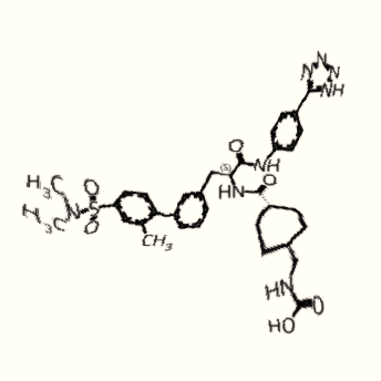 Cc1cc(S(=O)(=O)N(C)C)ccc1-c1cccc(C[C@H](NC(=O)[C@H]2CC[C@H](CNC(=O)O)CC2)C(=O)Nc2ccc(-c3nnn[nH]3)cc2)c1